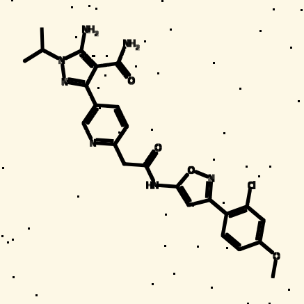 COc1ccc(-c2cc(NC(=O)Cc3ccc(-c4nn(C(C)C)c(N)c4C(N)=O)cn3)on2)c(Cl)c1